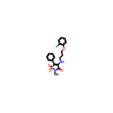 CC(C)(C)N1C(=O)C(NCCCOc2ccccc2F)=C(c2ccccc2)S1(=O)=O